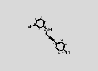 Fc1cccc(NCC#Cc2ccc(Cl)cc2)c1